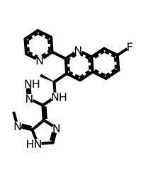 C/N=C1/NC=N/C1=C(/N=N)N[C@@H](C)c1cc2ccc(F)cc2nc1-c1ccccn1